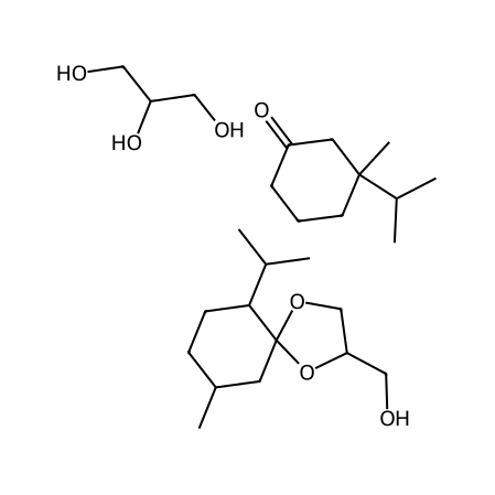 CC(C)C1(C)CCCC(=O)C1.CC1CCC(C(C)C)C2(C1)OCC(CO)O2.OCC(O)CO